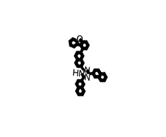 c1ccc2cc(C3=NC(c4ccc5ccc(-c6cccc7oc8ccccc8c67)cc5c4)NC(c4ccc5ccccc5c4)=N3)ccc2c1